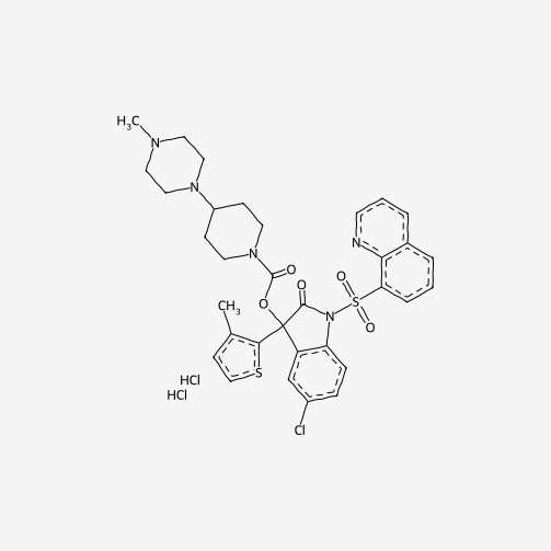 Cc1ccsc1C1(OC(=O)N2CCC(N3CCN(C)CC3)CC2)C(=O)N(S(=O)(=O)c2cccc3cccnc23)c2ccc(Cl)cc21.Cl.Cl